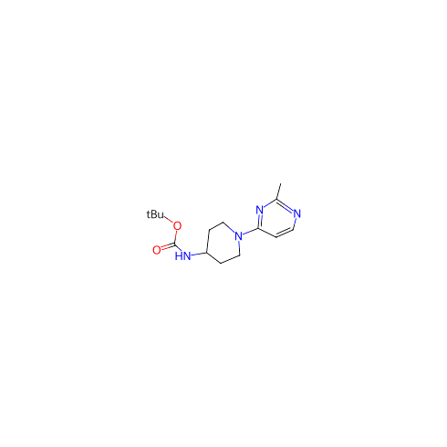 Cc1nccc(N2CCC(NC(=O)OC(C)(C)C)CC2)n1